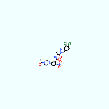 CC(=O)N1CCN(c2ccc([N+](=O)[O-])c(C(=O)NC(C)C(=O)NCc3ccc(Cl)c(Cl)c3)c2)CC1